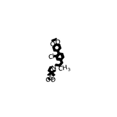 C[C@H](Cc1ccc(C2CCC3(CC2)OCCO3)c(Cl)c1)CN1CCC2(C1)CS(=O)(=O)C2